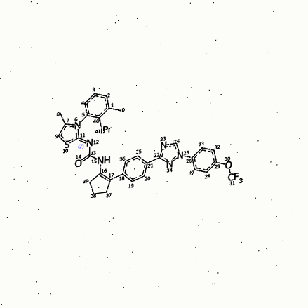 Cc1cccc(-n2c(C)cs/c2=N\C(=O)NC2=C(c3ccc(-c4ncn(-c5ccc(OC(F)(F)F)cc5)n4)cc3)CCC2)c1C(C)C